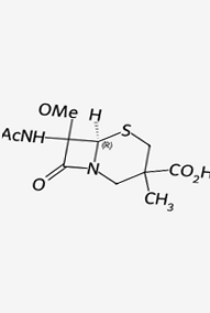 COC1(NC(C)=O)C(=O)N2CC(C)(C(=O)O)CS[C@@H]21